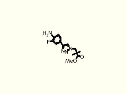 COC(=O)C(C)(C)Cn1cc(-c2ccc(N)c(F)c2)nn1